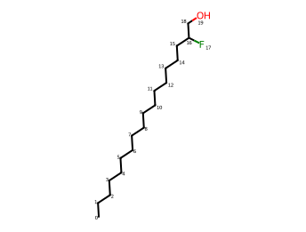 CCCCCCCCCCCCCCCCC(F)CO